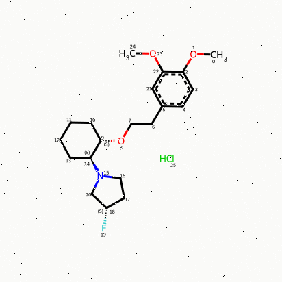 COc1ccc(CCO[C@H]2CCCC[C@@H]2N2CC[C@H](F)C2)cc1OC.Cl